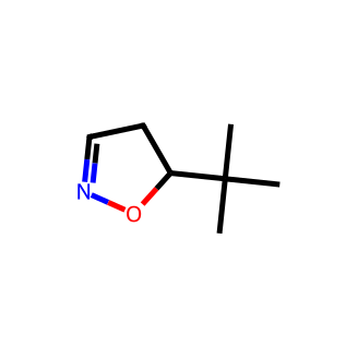 CC(C)(C)C1CC=NO1